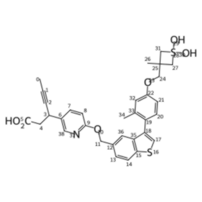 CC#CC(CC(=O)O)c1ccc(OCc2ccc3scc(-c4ccc(OCC5(C)CS(O)(O)C5)cc4C)c3c2)nc1